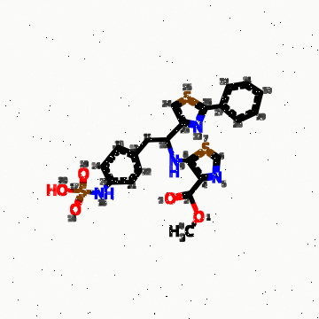 COC(=O)c1ncsc1NC(Cc1[c]cc(NS(=O)(=O)O)cc1)c1csc(-c2ccccc2)n1